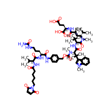 C/C(=C\[C@H](C(C)C)N(C)C(=O)[C@@H](NC(=O)[C@@H](N(C)C(=O)OCc1ccc(NC(=O)[C@H](CCCNC(N)=O)NC(=O)[C@@H](NC(=O)CCCCCN2C(=O)C=CC2=O)C(C)C)cc1)C(C)(C)c1cn(C)c2ccccc12)C(C)(C)C)C(=O)N[C@H](CCC(=O)O)C(=O)O